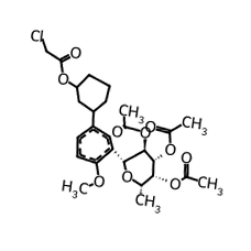 COc1ccc(C2CCCC(OC(=O)CCl)C2)cc1[C@H]1O[C@@H](C)[C@@H](OC(C)=O)[C@@H](OC(C)=O)[C@@H]1OC(C)=O